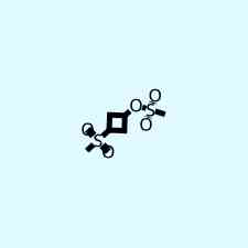 CS(=O)(=O)OC1CC(S(C)(=O)=O)C1